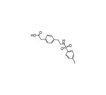 O=C(O)Cc1ccc(CCNS(=O)(=O)c2ccc(I)cc2)cc1